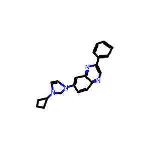 C1=CN(C2CCC2)CN1c1ccc2ncc(-c3ccccc3)nc2c1